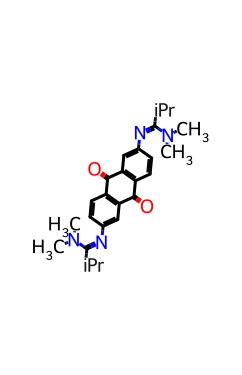 CC(C)C(=Nc1ccc2c(c1)C(=O)c1ccc(N=C(C(C)C)N(C)C)cc1C2=O)N(C)C